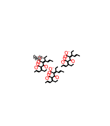 CC=CC(CC)=C(C(=O)[O-])C(=O)C(C(=O)[O-])=C(C=CC)CC.CC=CC(CC)=C(C(=O)[O-])C(=O)C(C(=O)[O-])=C(C=CC)CC.CC=CC(CC)=C(C(=O)[O-])C(=O)C(C(=O)[O-])=C(C=CC)CC.[Ru+3].[Ru+3]